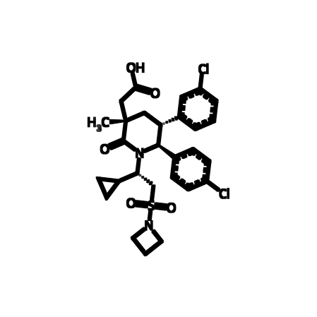 C[C@@]1(CC(=O)O)C[C@H](c2cccc(Cl)c2)[C@@H](c2ccc(Cl)cc2)N([C@H](CS(=O)(=O)N2CCC2)C2CC2)C1=O